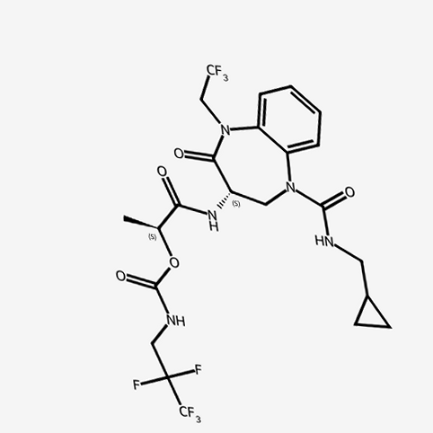 C[C@H](OC(=O)NCC(F)(F)C(F)(F)F)C(=O)N[C@H]1CN(C(=O)NCC2CC2)c2ccccc2N(CC(F)(F)F)C1=O